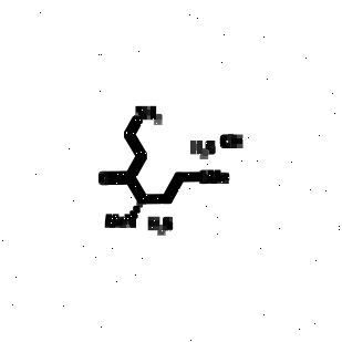 CN[C@@H](CCSC)C(=O)CCN.Cl.S.S